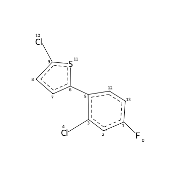 Fc1[c]c(Cl)c(-c2ccc(Cl)s2)cc1